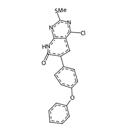 CSc1nc(Cl)c2cc(-c3ccc(Oc4ccccc4)cc3)c(=O)[nH]c2n1